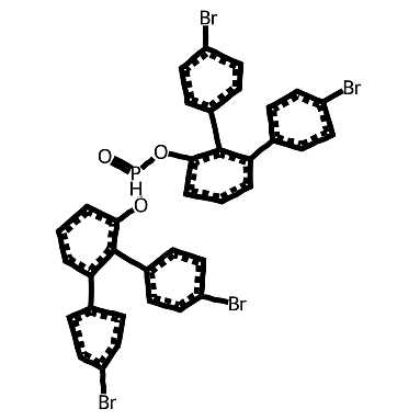 O=[PH](Oc1cccc(-c2ccc(Br)cc2)c1-c1ccc(Br)cc1)Oc1cccc(-c2ccc(Br)cc2)c1-c1ccc(Br)cc1